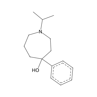 CC(C)N1CCCC(O)(c2ccccc2)CC1